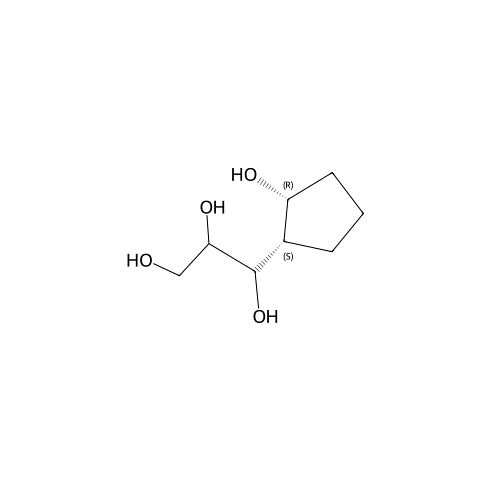 OCC(O)C(O)[C@H]1CCC[C@H]1O